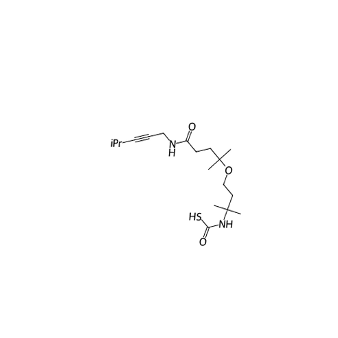 CC(C)C#CCNC(=O)CCC(C)(C)OCCC(C)(C)NC(=O)S